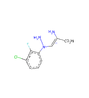 N/C(=C\N(N)c1cccc(Cl)c1F)C(=O)O